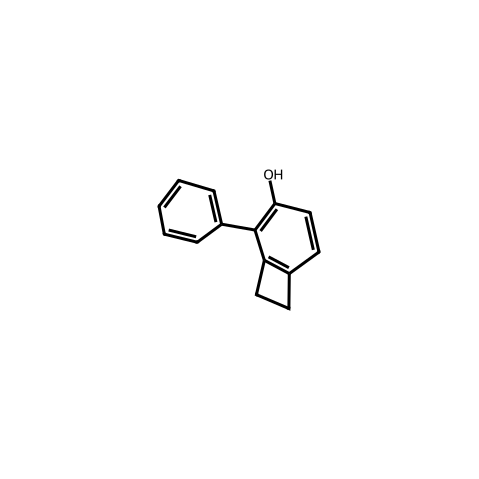 Oc1ccc2c(c1-c1ccccc1)CC2